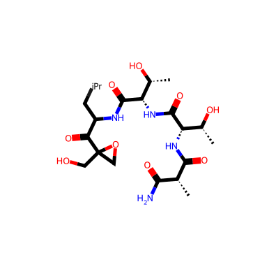 CC(C)CC(NC(=O)[C@@H](NC(=O)[C@@H](NC(=O)[C@H](C)C(N)=O)[C@@H](C)O)[C@@H](C)O)C(=O)C1(CO)CO1